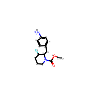 CC(C)(C)OC(=O)N1CCCC(F)C1Cc1ccc(N)cc1